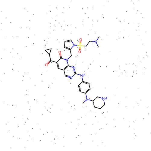 CN(C)CCS(=O)(=O)n1cccc1Cn1c(=O)c(C(=O)C2CC2)cc2cnc(Nc3ccc(N(C)C4CCCNC4)cc3)nc21